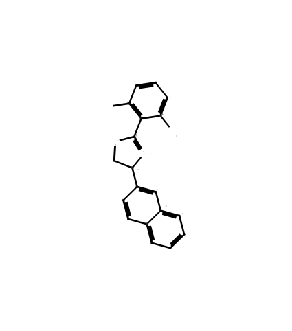 Fc1cccc(F)c1C1=NC(c2ccc3ccccc3c2)CO1